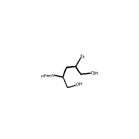 CCCCCC(CO)CC(CC)CO